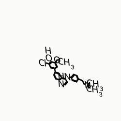 COc1cc(-c2ccc3nccc(Nc4ccc(CCN(C)C)cc4)c3c2)cc(Cl)c1O